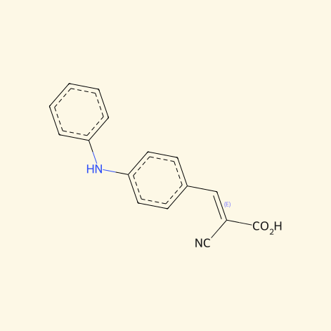 N#C/C(=C\c1ccc(Nc2ccccc2)cc1)C(=O)O